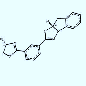 CC(C)(C)[C@H]1COC(c2cccc(C3=NC4c5ccccc5C[C@H]4O3)c2)=N1